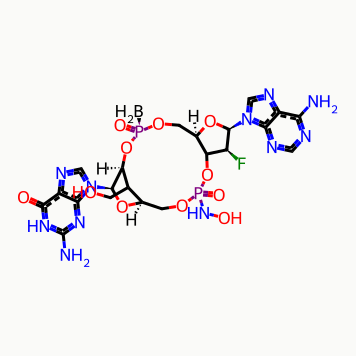 B[P@@]1(=O)OC[C@H]2O[C@@H](n3cnc4c(N)ncnc43)[C@@H](F)C2OP(=O)(NO)OC[C@H]2O[C@@H](n3cnc4c(=O)[nH]c(N)nc43)[C@@H](O1)C2CO